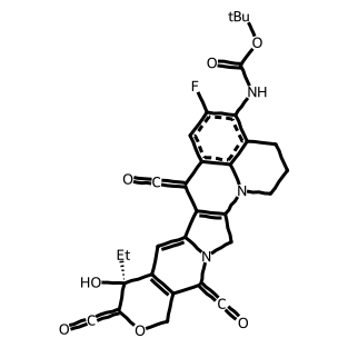 CC[C@@]1(O)C(=C=O)OCC2=C1C=C1C3=C(CN1C2=C=O)N1CCCc2c(NC(=O)OC(C)(C)C)c(F)cc(c21)C3=C=O